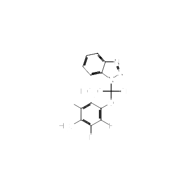 Cc1c(F)cc(OC(C)(C(=O)O)n2nnc3ccccc32)c(F)c1F